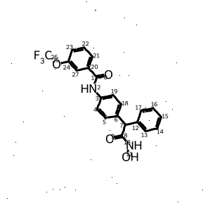 O=C(Nc1ccc(C(C(=O)NO)c2ccccc2)cc1)c1cccc(OC(F)(F)F)c1